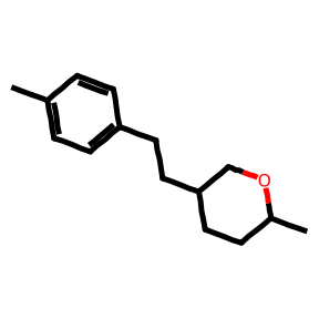 Cc1ccc(CCC2CCC(C)OC2)cc1